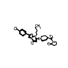 CCCCCn1c(N2CCC(C(=O)N3CCCC3=O)CC2)cc(=O)n2cc(-c3ccc(Cl)cc3)nc12